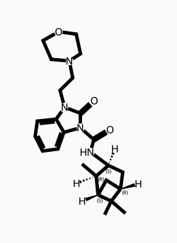 C[C@H]1[C@@H](NC(=O)n2c(=O)n(CCN3CCOCC3)c3ccccc32)C[C@H]2C[C@@H]1C2(C)C